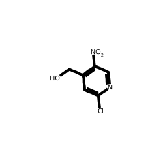 O=[N+]([O-])c1cnc(Cl)cc1CO